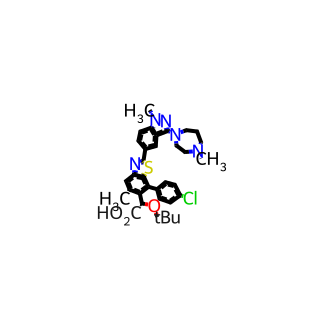 Cc1cc2nc(-c3ccc4c(c3)c(N3CCCN(C)CC3)nn4C)sc2c(-c2ccc(Cl)cc2)c1[C@H](OC(C)(C)C)C(=O)O